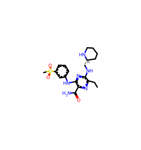 CCc1nc(C(N)=O)c(Nc2cccc(S(C)(=O)=O)c2)nc1NC[C@H]1CCCCN1